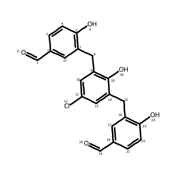 O=Cc1ccc(O)c(Cc2cc(Cl)cc(Cc3cc(C=O)ccc3O)c2O)c1